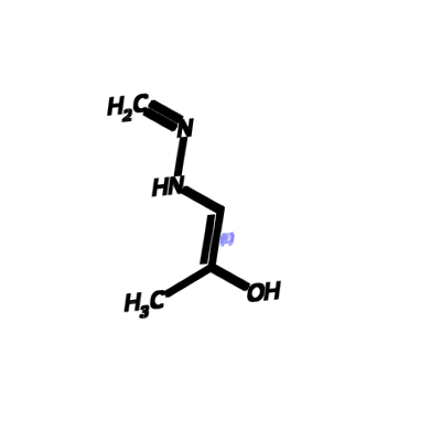 C=NN/C=C(\C)O